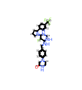 O=C1CN(c2ccc(CNC3NCNC(N4CCCC4c4ccc(C(F)(F)F)cc4)C3F)cc2)CCN1